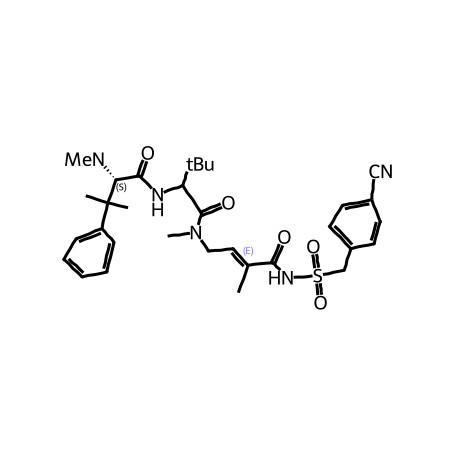 CN[C@H](C(=O)NC(C(=O)N(C)C/C=C(\C)C(=O)NS(=O)(=O)Cc1ccc(C#N)cc1)C(C)(C)C)C(C)(C)c1ccccc1